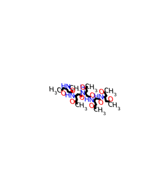 CNC(CC(C)=O)CC(=O)NC(CC(C)=O)CC(=O)NC(CC(C)=O)CC(=O)NC(CC(C)=O)CC(=O)NC(CC(C)=O)CC(C)=O